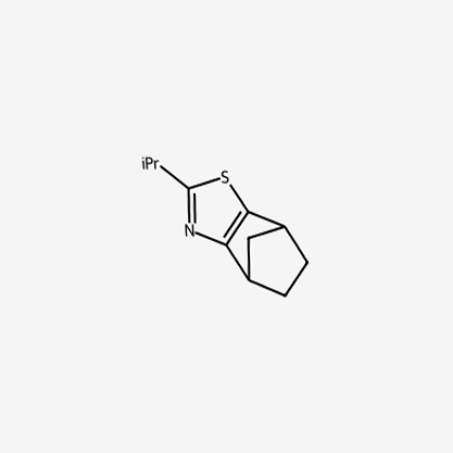 CC(C)c1nc2c(s1)C1CCC2C1